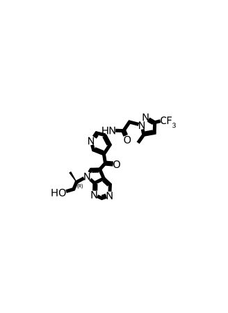 Cc1cc(C(F)(F)F)nn1CC(=O)Nc1cncc(C(=O)c2cn([C@H](C)CO)c3ncncc23)c1